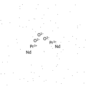 [Nd].[Nd].[O-2].[O-2].[O-2].[Pr+3].[Pr+3]